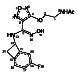 CC(=O)NCCOc1nonc1C(=NO)NC1Cc2ccc(F)cc21